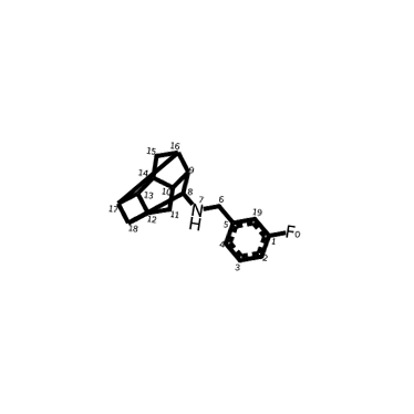 Fc1cccc(CNC2C3C4CC5C6C4CC3C6C52)c1